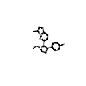 CCn1cnc(-c2ccc(F)cc2)c1-c1ccc2ncc(C)n2n1